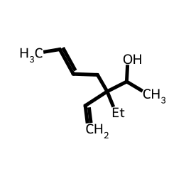 C=CC(CC)(C/C=C/C)C(C)O